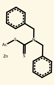 CC(=O)SC(=S)N(Cc1ccccc1)Cc1ccccc1.[Zn]